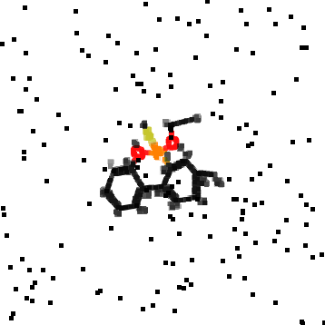 CCOP1(=S)Oc2ccccc2-c2ccc(C)cc21